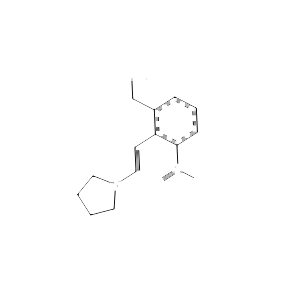 CCc1cccc([N+](=O)[O-])c1C=CN1CCCC1